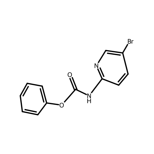 O=C(Nc1ccc(Br)cn1)Oc1ccccc1